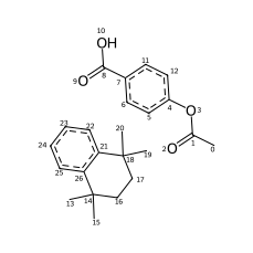 CC(=O)Oc1ccc(C(=O)O)cc1.CC1(C)CCC(C)(C)c2ccccc21